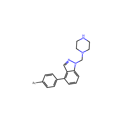 CC(=O)c1ccc(-c2cccc3c2cnn3CN2CCNCC2)cc1